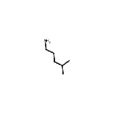 CC(C)C[CH]CN